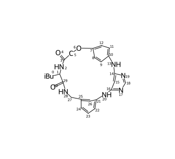 CCC(C)C1NC(=O)COc2ccc(cc2)Nc2cc(ncn2)Nc2cccc(c2)CNC1=O